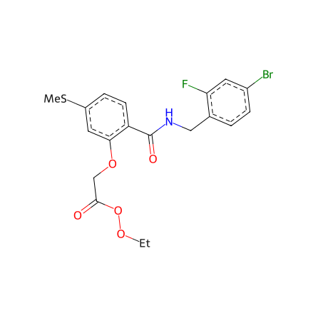 CCOOC(=O)COc1cc(SC)ccc1C(=O)NCc1ccc(Br)cc1F